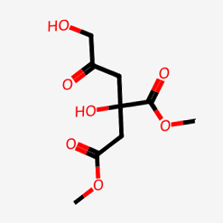 COC(=O)CC(O)(CC(=O)CO)C(=O)OC